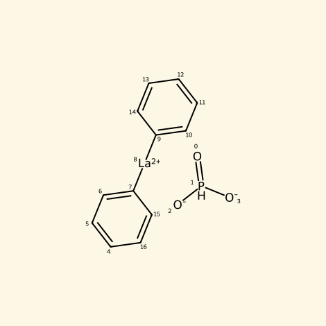 O=[PH]([O-])[O-].c1cc[c]([La+2][c]2ccccc2)cc1